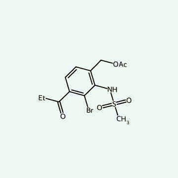 CCC(=O)c1ccc(COC(C)=O)c(NS(C)(=O)=O)c1Br